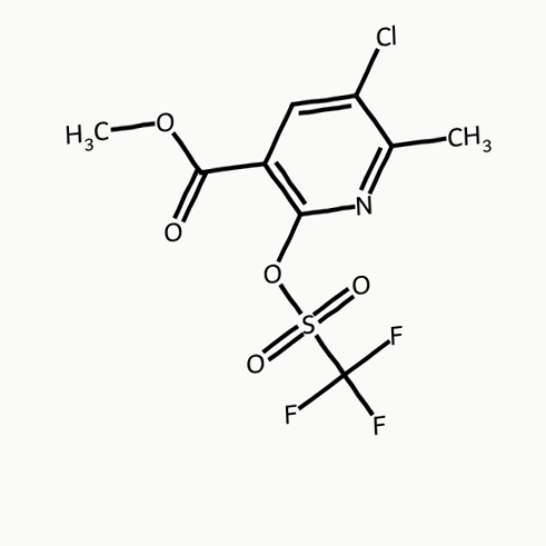 COC(=O)c1cc(Cl)c(C)nc1OS(=O)(=O)C(F)(F)F